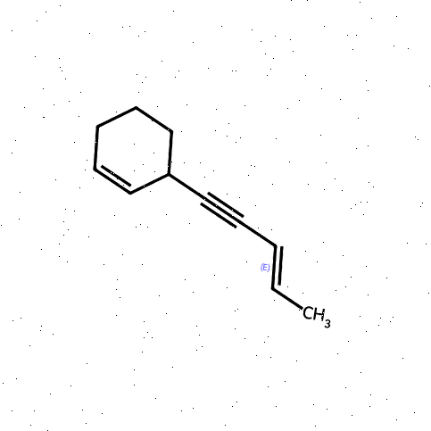 C/C=C/C#CC1C=CCCC1